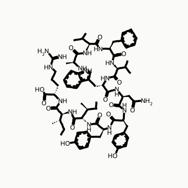 CC[C@H](C)[C@H](NC(=O)[C@H](Cc1ccc(O)cc1)NC(=O)[C@H](Cc1ccc(O)cc1)NC(=O)[C@H](CC(N)=O)NC(=O)[C@H](Cc1c[nH]c2ccccc12)NC(=O)[C@@H](NC(=O)[C@H](Cc1ccccc1)NC(=O)[C@@H](NC(=O)[C@H](C)N)C(C)C)C(C)C)C(=O)N[C@H](C(=O)N[C@@H](CCCNC(=N)N)C(=O)O)[C@@H](C)CC